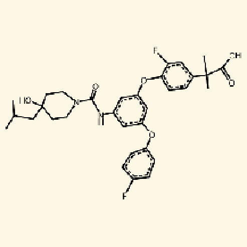 CC(C)CC1(O)CCN(C(=O)Nc2cc(Oc3ccc(F)cc3)cc(Oc3ccc(C(C)(C)C(=O)O)cc3F)c2)CC1